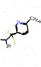 COc1ccc(C(F)(F)C(C)C(C)C)cn1